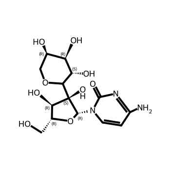 Nc1ccn([C@@H]2O[C@H](CO)[C@@H](O)[C@]2(O)C2OC[C@@H](O)[C@@H](O)[C@@H]2O)c(=O)n1